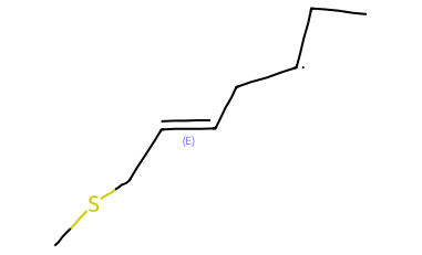 CC[CH]C/C=C/CSC